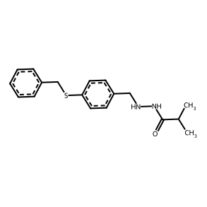 CC(C)C(=O)NNCc1ccc(SCc2ccccc2)cc1